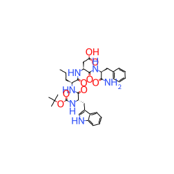 CCC[C@H](NC(=O)[C@H](Cc1c[nH]c2ccccc12)NC(=O)OC(C)(C)C)C(=O)N[C@@H](CC(=O)O)C(=O)N[C@@H](Cc1ccccc1)C(N)=O